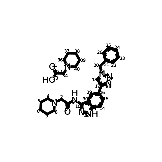 O=C(CN1CCCCC1)Nc1n[nH]c2ccc(-c3cn(Cc4ccccc4)nn3)cc12.O=C(O)CN1CCCCC1